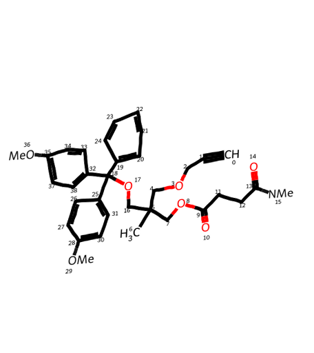 C#CCOCC(C)(COC(=O)CCC(=O)NC)COC(c1ccccc1)(c1ccc(OC)cc1)c1ccc(OC)cc1